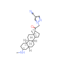 CN[C@H]1CC[C@H]2[C@H](CC[C@@H]3[C@@H]2CC[C@]2(C)[C@@H](C(=O)Cn4cc(C#N)cn4)CC[C@@H]32)C1